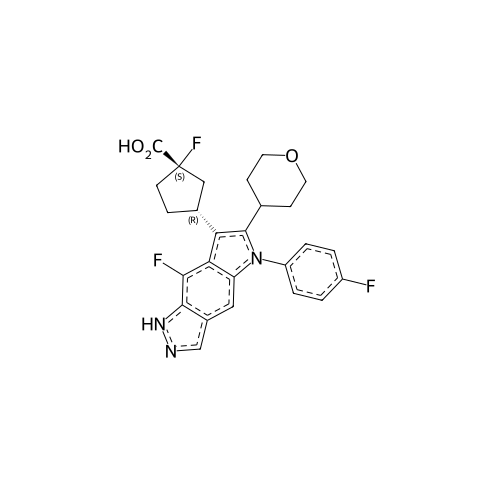 O=C(O)[C@]1(F)CC[C@@H](c2c(C3CCOCC3)n(-c3ccc(F)cc3)c3cc4cn[nH]c4c(F)c23)C1